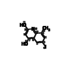 Cc1cc(I)cc2c(O)cc(O)nc12